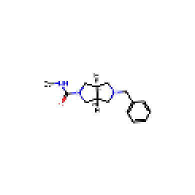 CCNC(=O)N1C[C@H]2CN(Cc3ccccc3)C[C@H]2C1